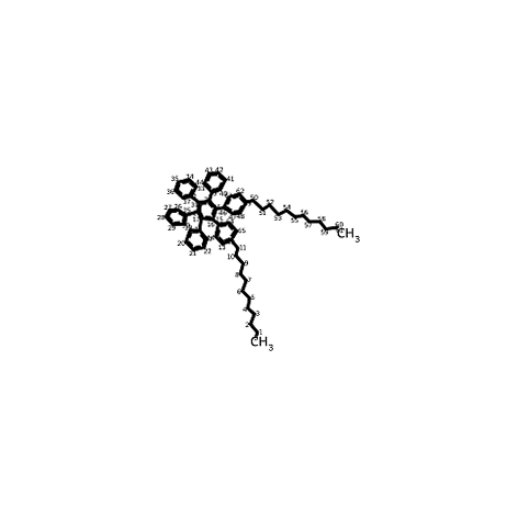 CCCCCCCCCCCCc1ccc(-c2c(-c3ccccc3)c(-c3ccccc3)c(-c3ccccc3)c(-c3ccccc3)c2-c2ccc(CCCCCCCCCCCC)cc2)cc1